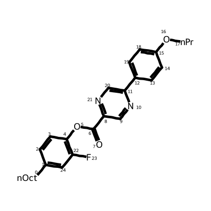 CCCCCCCCc1ccc(OC(=O)c2cnc(-c3ccc(OCCC)cc3)cn2)c(F)c1